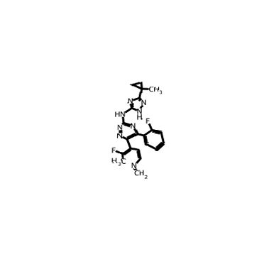 C=N/C=C\C(=C(/C)F)c1nnc(Nc2nc(C3(C)CC3)n[nH]2)nc1-c1ccccc1F